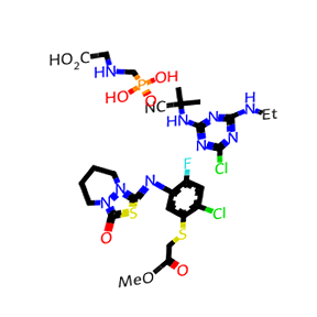 CCNc1nc(Cl)nc(NC(C)(C)C#N)n1.COC(=O)CSc1cc(/N=c2\sc(=O)n3n2CCCC3)c(F)cc1Cl.O=C(O)CNCP(=O)(O)O